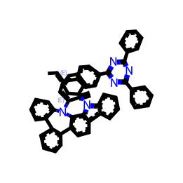 C#C/C(=C\C(=C/C)c1ccc(-c2nc(-c3ccccc3)nc(-c3ccccc3)n2)cc1)N1c2ccccc2-c2ccccc2-c2ccc3c4ccccc4n(C4C=CC=CC4)c3c21